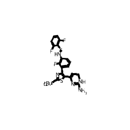 CC(C)(C)c1nc(-c2cccc(NSc3c(F)cccc3F)c2F)c(C2=CCNC(N)=N2)s1